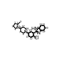 CC1CCCN1C1CCN(c2ccc(Cl)c(-c3nc4ccccc4[nH]3)c2)CC1